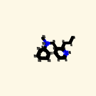 CCCc1ncccc1CN(C)c1ccccc1